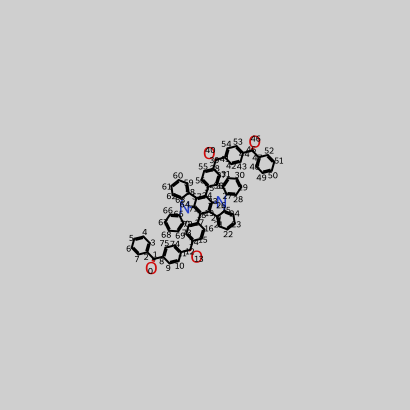 O=C(c1ccccc1)c1ccc(C(=O)c2ccc(-c3c4c5ccccc5n(-c5ccccc5)c4c(-c4ccc(C(=O)c5ccc(C(=O)c6ccccc6)cc5)cc4)c4c5ccccc5n(-c5ccccc5)c34)cc2)cc1